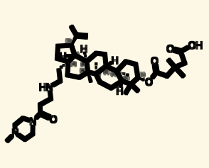 C=C(C)[C@@H]1CC[C@]2(CCNCCC(=O)N3CCN(C)CC3)CC[C@]3(C)[C@H](CC[C@@H]4[C@@]5(C)CC[C@H](OC(=O)CC(C)(C)CC(=O)O)C(C)(C)[C@@H]5CC[C@]43C)[C@@H]12